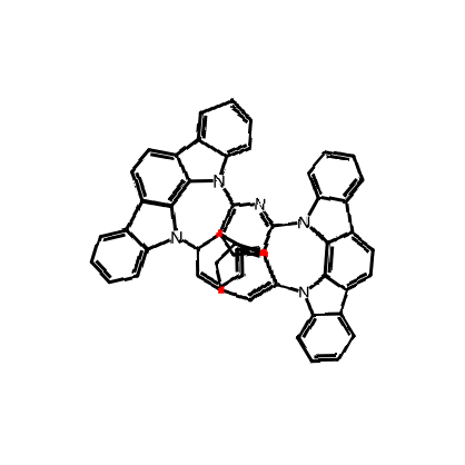 C1=CCC(n2c3ccccc3c3ccc4c5ccccc5n(-c5cccc(-n6c7ccccc7c7ccc8c9ccccc9n(C9=CCCC=C9)c8c76)n5)c4c32)C=C1